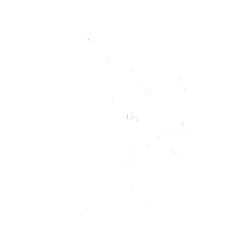 CCOC(=O)c1ccc2c(c1)NC(=O)C2=C(Nc1ccc(N(C)C(=O)NC)cc1)c1ccccc1